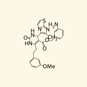 COc1cccc(CCC2=C(C(=O)OCc3cccc(N)c3)C(c3c(C)nc4sccn34)NC(=O)N2)c1